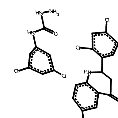 NNC(=O)Nc1cc(Cl)cc(Cl)c1.O=C1CC(c2ccc(Cl)cc2Cl)Nc2ccc(Cl)cc21